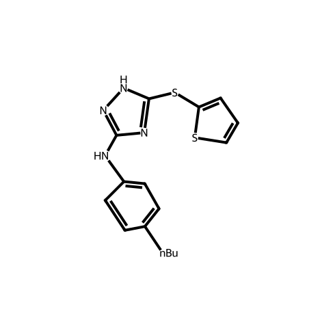 CCCCc1ccc(Nc2n[nH]c(Sc3cccs3)n2)cc1